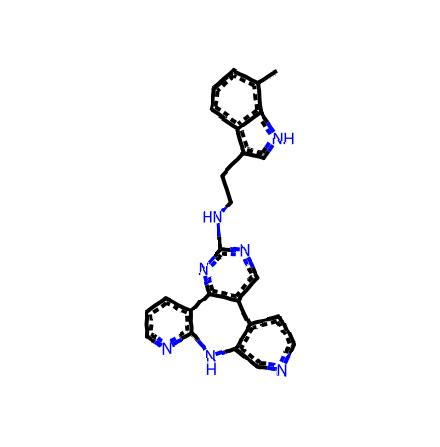 Cc1cccc2c(CCNc3ncc4c(n3)-c3cccnc3Nc3cnccc3-4)c[nH]c12